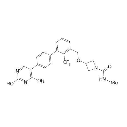 CC(C)(C)NC(=O)N1CC(OCc2cccc(-c3ccc(-c4cnc(O)nc4O)cc3)c2C(F)(F)F)C1